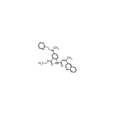 CCOC(=O)c1cc(N(C)CCc2ccccn2)ccc1NC(=O)/C=C(/C)c1ccc2ccccc2c1